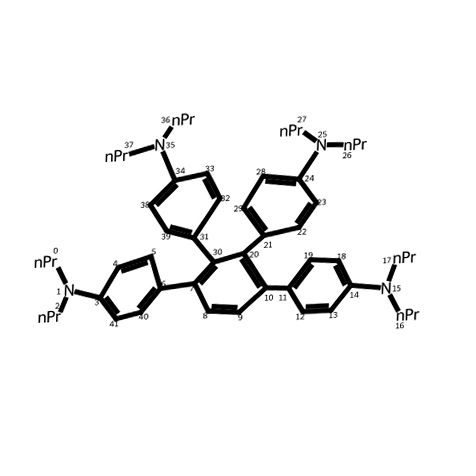 CCCN(CCC)c1ccc(-c2ccc(-c3ccc(N(CCC)CCC)cc3)c(-c3ccc(N(CCC)CCC)cc3)c2-c2ccc(N(CCC)CCC)cc2)cc1